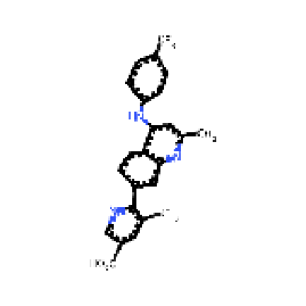 Cc1cc(Nc2ccc(C(F)(F)F)cc2)c2ccc(-c3ncc(C(=O)O)cc3C(F)(F)F)cc2n1